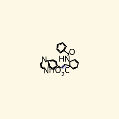 O=C(NC1C=CC=CC1(/C=C/c1ccc2nccnc2c1)C(=O)O)c1ccccc1